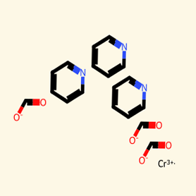 O=C[O-].O=C[O-].O=C[O-].[Cr+3].c1ccncc1.c1ccncc1.c1ccncc1